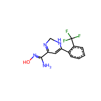 N/C(=N\O)C1=NCNC(c2ccccc2C(F)(F)F)=C1